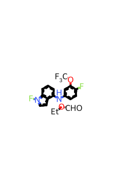 CCOC=O.Fc1ccc(Nc2cccc3c2ccn3F)cc1OC(F)(F)F